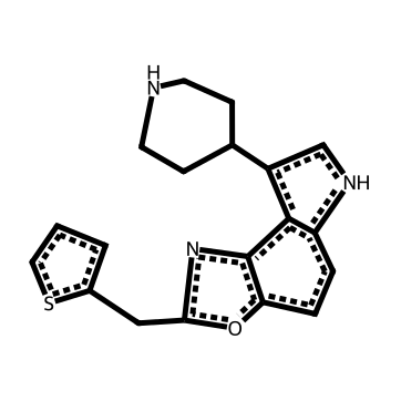 c1csc(Cc2nc3c(ccc4[nH]cc(C5CCNCC5)c43)o2)c1